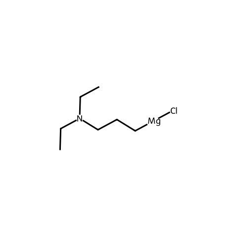 CCN(CC)CC[CH2][Mg][Cl]